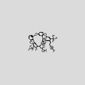 O=C(O)CC1NC(=O)C(n2cc(CCN3CC(F)C3)c(C(F)(F)F)cc2=O)c2cccc(c2)Oc2cccc(Cl)c2-c2cc1c(F)c(C(F)(F)F)c2